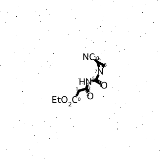 CCOC(=O)CC(=O)NC(=O)N1CC1C#N